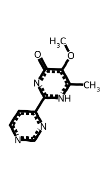 COc1c(C)[nH]c(-c2ccncn2)nc1=O